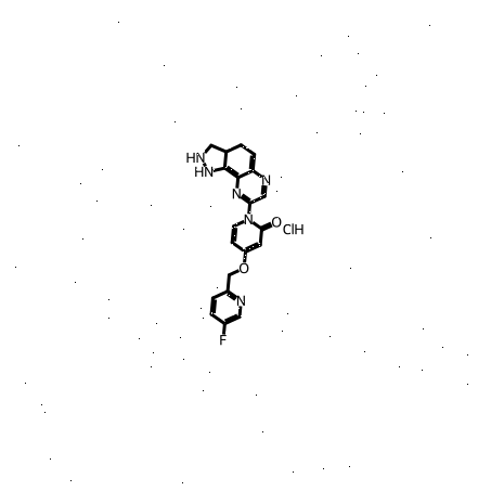 Cl.O=c1cc(OCc2ccc(F)cn2)ccn1-c1cnc2c(n1)=C1NNCC1CC=2